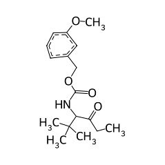 CCC(=O)C(NC(=O)OCc1cccc(OC)c1)C(C)(C)C